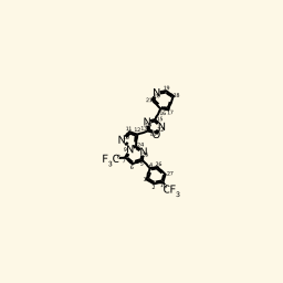 FC(F)(F)c1ccc(-c2cc(C(F)(F)F)n3ncc(-c4nc(-c5cccnc5)no4)c3n2)cc1